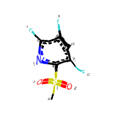 CS(=O)(=O)c1nc(F)c(F)cc1F